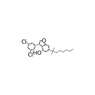 CCCCCCC(C)(C)c1cc(O)c2c(-c3cc(Cl)cc(Cl)c3)coc2c1